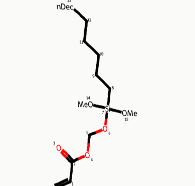 C=CC(=O)OCO[Si](CCCCCCCCCCCCCCC)(OC)OC